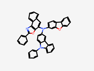 c1ccc(-c2nc3c(o2)c(N(c2ccc4c(c2)oc2ccccc24)c2ccc4c(c2)c2ccccc2n4-c2ccccc2)cc2ccccc23)cc1